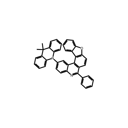 CC1(C)c2ccccc2N(c2ccc3nc(-c4ccccc4)c4ccc5oc6ccccc6c5c4c3c2)c2ccccc21